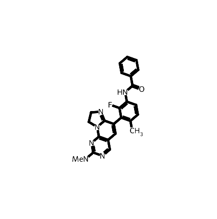 CNc1ncc2c(n1)N1CCN=C1C(c1c(C)ccc(NC(=O)c3ccccc3)c1F)=C2